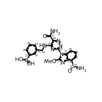 COc1nc2c([S+](N)[O-])cccc2n1-c1nnc(C(N)=O)c(NCc2cccc(B(O)O)c2)n1